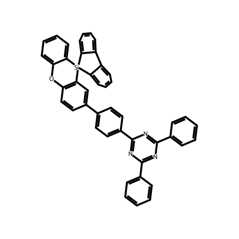 c1ccc(-c2nc(-c3ccccc3)nc(-c3ccc(-c4ccc5c(c4)[Si]4(c6ccccc6O5)c5ccccc5-c5ccccc54)cc3)n2)cc1